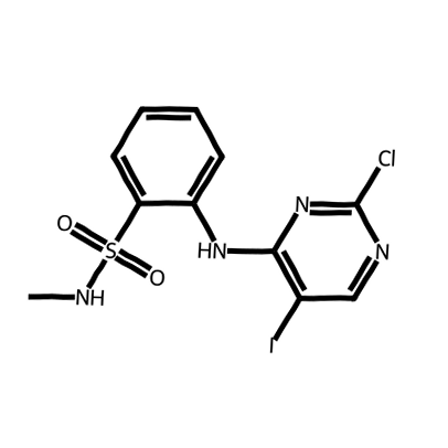 CNS(=O)(=O)c1ccccc1Nc1nc(Cl)ncc1I